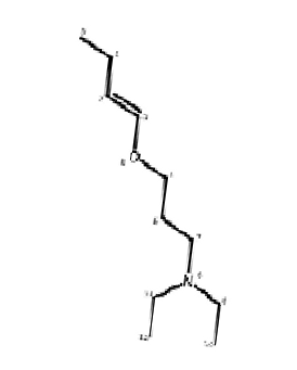 CCC=COCCCN(CC)CC